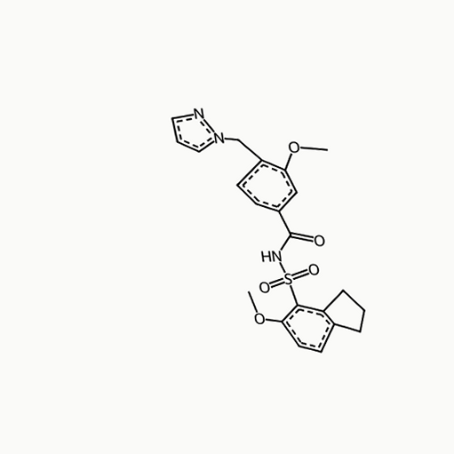 COc1cc(C(=O)NS(=O)(=O)c2c(OC)ccc3c2CCC3)ccc1Cn1cccn1